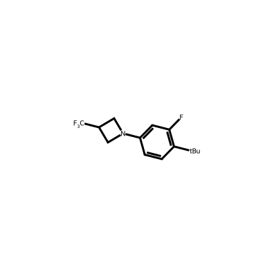 CC(C)(C)c1ccc(N2CC(C(F)(F)F)C2)cc1F